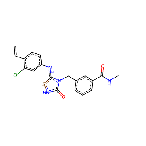 C=Cc1ccc(/N=c2\s[nH]c(=O)n2Cc2cccc(C(=O)NC)c2)cc1Cl